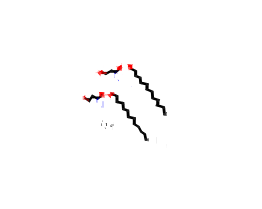 CCCCCCCCCCCCCC(=O)OC(=O)[C@@H](N)CCC(=O)[O-].CCCCCCCCCCCCCC(=O)OC(=O)[C@@H](N)CCC(=O)[O-].[Na+].[Na+]